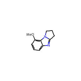 COc1cccc2nc3n(c12)CCC3